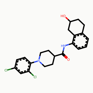 O=C(Nc1cccc2c1CC(O)CC2)C1CCN(c2ccc(Cl)cc2Cl)CC1